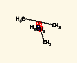 CCCCCCCCCCCCCCC(CCCCCCCCCCCCCC)OC(=O)CCC(C(=O)OCCCCCCCCCCCC)N(C)C